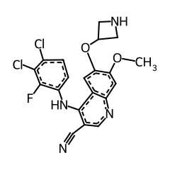 COc1cc2ncc(C#N)c(Nc3ccc(Cl)c(Cl)c3F)c2cc1OC1CNC1